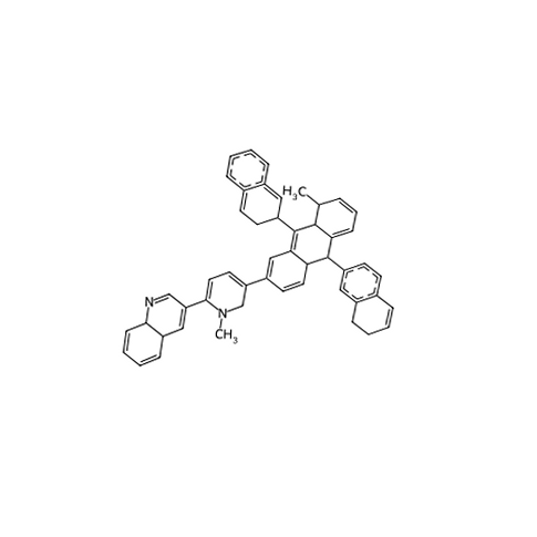 CC1C=CC=C2C1C(C1C=c3ccccc3=CC1)=C1C=C(C3=CC=C(C4=CC5C=CC=CC5N=C4)N(C)C3)C=CC1C2c1ccc2c(c1)CCC=C2